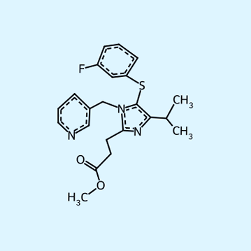 COC(=O)CCc1nc(C(C)C)c(Sc2cccc(F)c2)n1Cc1cccnc1